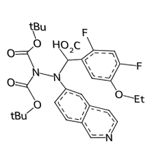 CCOc1cc(C(C(=O)O)N(c2ccc3cnccc3c2)N(C(=O)OC(C)(C)C)C(=O)OC(C)(C)C)c(F)cc1F